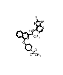 C[C@H](Nc1ncnc2[nH]c(F)nc12)c1cc2ccccc2c(OC2CCN(S(C)(=O)=O)CC2)n1